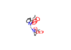 C=C1CC2(OC1=O)C(=O)N(CCCCCN1C(=O)C3(CC(=C)C(=O)O3)c3ccccc31)c1ccccc12